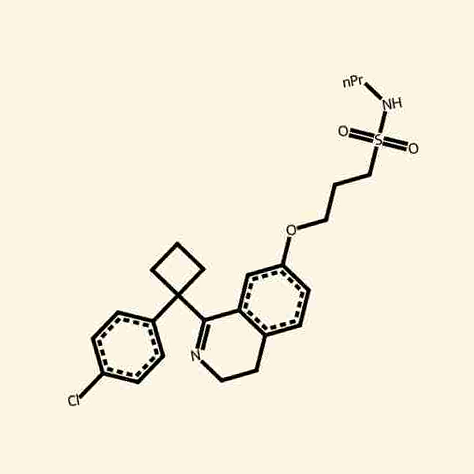 CCCNS(=O)(=O)CCCOc1ccc2c(c1)C(C1(c3ccc(Cl)cc3)CCC1)=NCC2